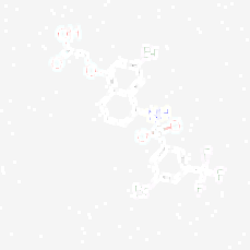 O=C(O)COc1cc(Br)cc2c1CCCC2NS(=O)(=O)c1cc(Br)cc(C(F)(F)F)c1